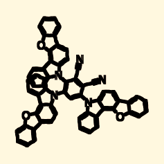 N#Cc1c(-n2c3ccccc3c3c4oc5ccccc5c4ccc32)cc(-n2c3ccccc3c3c4oc5ccccc5c4ccc32)c(-n2c3ccccc3c3c4oc5ccccc5c4ccc32)c1C#N